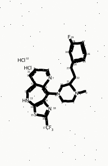 CN1CCN(C2=c3ncccc3=CNc3sc(C(F)(F)F)nc32)CC1CCc1cccc(F)c1.Cl.Cl